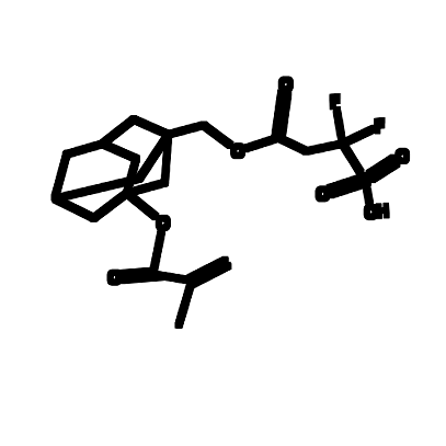 C=C(C)C(=O)OC12CC3CC(CC(COC(=O)CC(F)(F)S(=O)(=O)O)(C3)C1)C2